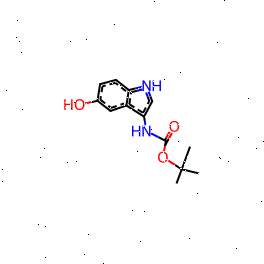 CC(C)(C)OC(=O)Nc1c[nH]c2ccc(O)cc12